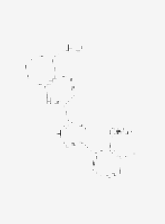 COc1c(F)cccc1-c1cnc(-c2ccc3c(n2)CCCC3C=O)s1